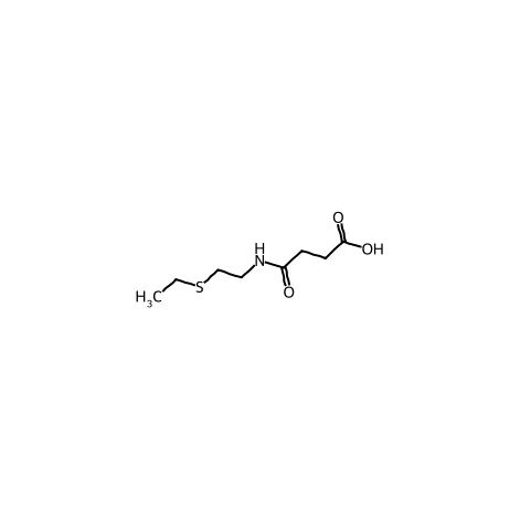 CCSCCNC(=O)CCC(=O)O